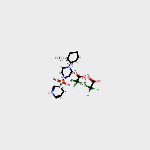 O=C(O)C(F)(F)F.O=C(O)[C@@H]1CCCC[C@H]1N1CCN(S(=O)(=O)[C+]2C=NC=CC2)CC1.O=C([O-])C(F)(F)F